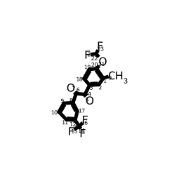 Cc1cc(C(=O)C(=O)c2cccc(C(F)(F)F)c2)ccc1OC(F)F